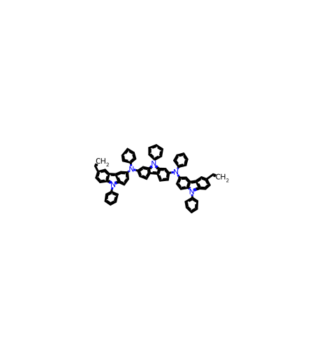 C=Cc1ccc2c(c1)c1cc(N(c3ccccc3)c3ccc4c5ccc(N(c6ccccc6)c6ccc7c(c6)c6cc(C=C)ccc6n7-c6ccccc6)cc5n(-c5ccccc5)c4c3)ccc1n2-c1ccccc1